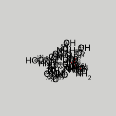 CC[C@H](C)[C@H](NC(=O)[C@H](Cc1ccc(O)cc1)NC(=O)CNC(=O)C(NC(=O)[C@H](C)NC(=O)CNC(=O)CNC(=O)[C@H](Cc1ccc(O)cc1)NC(=O)[C@H](C)NC(=O)[C@H](Cc1cnc[nH]1)NC(=O)CN)C(C)C)C(=O)N[C@@H](Cc1ccc(O)cc1)C(N)=O